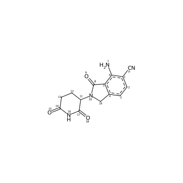 N#Cc1ccc2c(c1N)C(=O)N(C1CCC(=O)NC1=O)C2